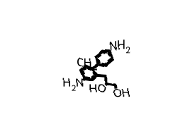 C.Nc1ccc(-c2ccc(N)cc2CC(O)CO)cc1